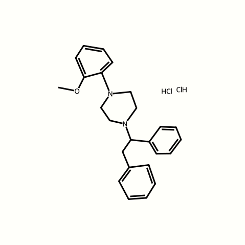 COc1ccccc1N1CCN(C(Cc2ccccc2)c2ccccc2)CC1.Cl.Cl